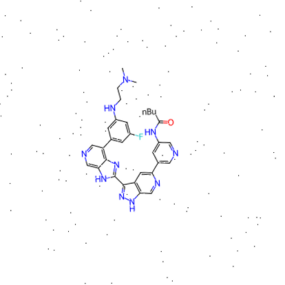 CCCCC(=O)Nc1cncc(-c2cc3c(-c4nc5c(-c6cc(F)cc(NCCN(C)C)c6)cncc5[nH]4)n[nH]c3cn2)c1